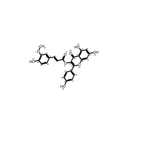 COc1cc(C=CC(=O)Oc2c(-c3ccc(O)cc3)oc3cc(O)cc(O)c3c2=O)ccc1O